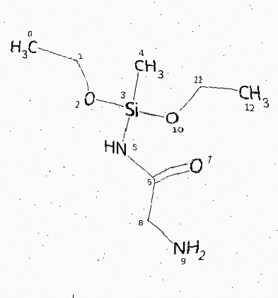 CCO[Si](C)(NC(=O)CN)OCC